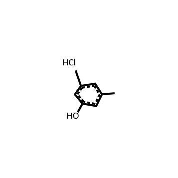 Cc1cc(C)cc(O)c1.Cl